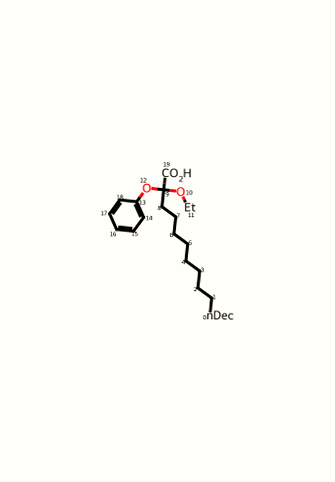 CCCCCCCCCCCCCCCCCCC(OCC)(Oc1ccccc1)C(=O)O